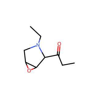 CCC(=O)C1C2OC2CN1CC